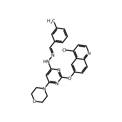 Cc1cccc(C=NNc2cc(N3CCOCC3)nc(Oc3ccc4nccc(Cl)c4c3)n2)c1